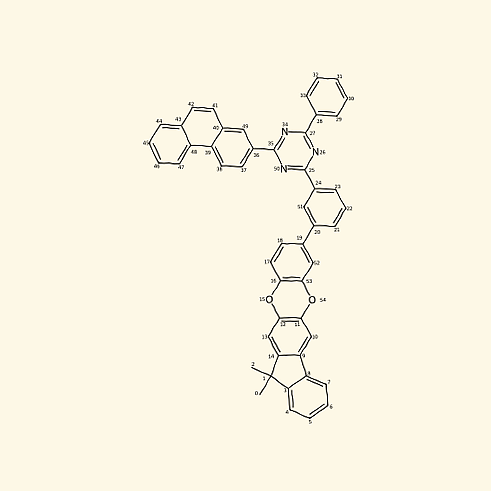 CC1(C)c2ccccc2-c2cc3c(cc21)Oc1ccc(-c2cccc(-c4nc(-c5ccccc5)nc(-c5ccc6c(ccc7ccccc76)c5)n4)c2)cc1O3